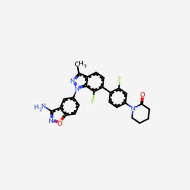 Cc1nn(-c2ccc3onc(N)c3c2)c2c(F)c(-c3ccc(N4CCCCC4=O)cc3F)ccc12